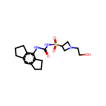 O=C(Nc1c2c(cc3c1CCC3)CCC2)NS(=O)(=O)C1CN(CCO)C1